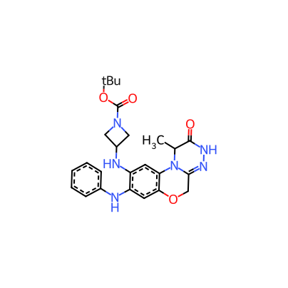 CC1C(=O)NN=C2COc3cc(Nc4ccccc4)c(NC4CN(C(=O)OC(C)(C)C)C4)cc3N21